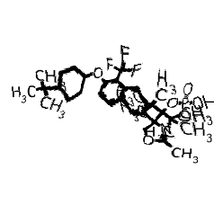 CC1=NC(c2ccc3c(C(F)(F)F)c(OC4CCC(C(C)(C)C)CC4)ccc3c2)(C(OP(=O)(O)O)(C(C)(C)C)C(C)(C)C)CO1